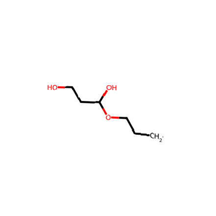 [CH2]CCOC(O)CCO